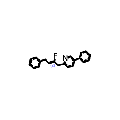 F/C(=C\Cc1ccccc1)Cc1ccc(-c2ccccc2)cn1